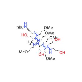 CCCCNC#CC[N]N(CCCOC)N(CCCO)N(CCCOC)N(C(CCO)N(CCCOC)N(CCCOC)N(CCCO)NCCCO)N(C)CCCOC